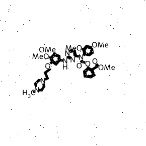 COC(=O)c1ccccc1OC(=O)N(c1ccnc(Nc2cc(OC)c(OC)c(OCCCN3CCN(C)CC3)c2)n1)c1ccc(OC)cc1OC